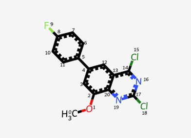 COc1cc(-c2ccc(F)cc2)cc2c(Cl)nc(Cl)nc12